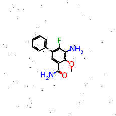 COc1c(C(N)=O)cc(-c2ccccc2)c(F)c1N